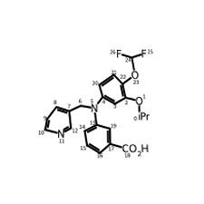 CC(C)Oc1cc(N(Cc2cccnc2)c2cccc(C(=O)O)c2)ccc1OC(F)F